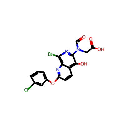 O=CN(CC(=O)O)c1nc(Br)c2nc(Oc3cccc(Cl)c3)ccc2c1O